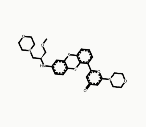 COC[C@H](CN1CCOCC1)Nc1ccc2c(c1)Sc1cccc(-c3cc(=O)cc(N4CCOCC4)o3)c1S2